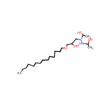 CCCCCCCCCCCCCCOCC(O)CN(NC(C)O)C(C)O